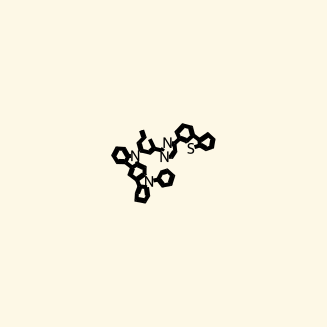 C=C/C=C(\C=C(/C)c1nccc(-c2cccc3c2sc2ccccc23)n1)n1c2ccccc2c2cc3c4ccccc4n(-c4ccccc4)c3cc21